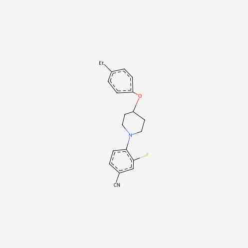 CCc1ccc(OC2CCN(c3ccc(C#N)cc3F)CC2)cc1